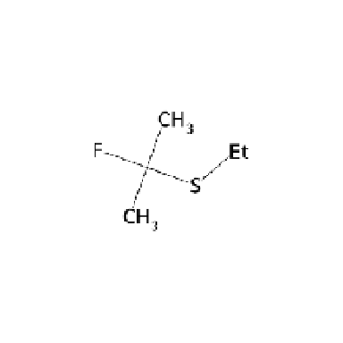 CCSC(C)(C)F